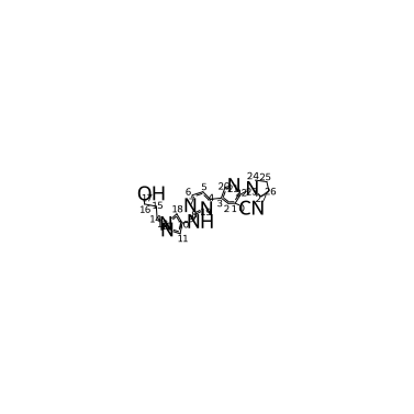 N#Cc1cc(-c2ccnc(Nc3cnn(CCCO)c3)n2)cnc1N1CCCC1